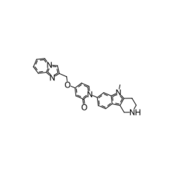 Cn1c2c(c3ccc(-n4ccc(OCc5cn6ccccc6n5)cc4=O)cc31)CNCC2